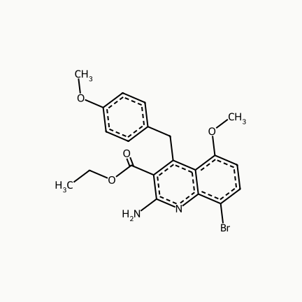 CCOC(=O)c1c(N)nc2c(Br)ccc(OC)c2c1Cc1ccc(OC)cc1